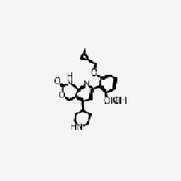 Cl.O=C1Nc2nc(-c3c(O)cccc3OCC3CC3)cc(C3CCNCC3)c2CO1